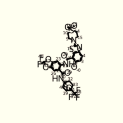 COc1ccc2nc(N3CCS(=O)(=O)CC3)sc2c1C(=O)Nc1cc2c(cc1C(=O)NC13CCC(C(F)(F)F)(CC1)OC3)OC(F)(F)O2